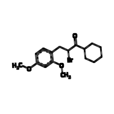 COc1ccc(CC(Br)C(=O)C2CCCCC2)c(OC)c1